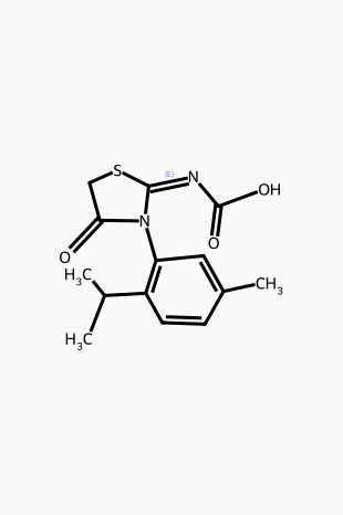 Cc1ccc(C(C)C)c(N2C(=O)CS/C2=N/C(=O)O)c1